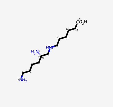 NCCCC[C@H](N)CNCCCCCC(=O)O